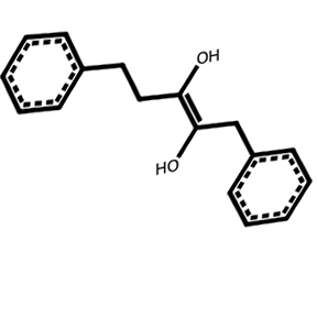 OC(CCc1ccccc1)=C(O)Cc1ccccc1